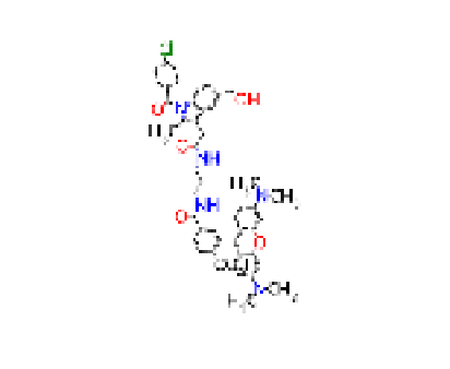 Cc1c(CC(=O)NCCCNC(=O)c2ccc(C(=O)O)c(-c3c4ccc(=[N+](C)C)cc-4oc4cc(N(C)C)ccc34)c2)c2cc(CO)ccc2n1C(=O)c1ccc(Cl)cc1